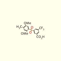 COc1cc(S(=O)(=O)c2cc(C(=O)O)cc(C(F)(F)F)c2)c(OC)cc1C